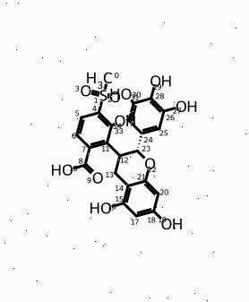 CS(=O)(=O)c1ccc(C(=O)O)c(C2Cc3c(O)cc(O)cc3O[C@H]2c2cc(O)c(O)c(O)c2)c1O